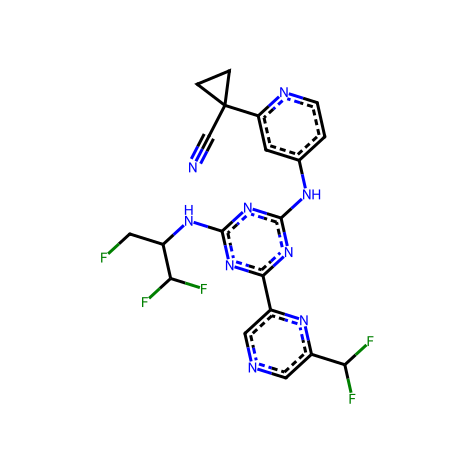 N#CC1(c2cc(Nc3nc(NC(CF)C(F)F)nc(-c4cncc(C(F)F)n4)n3)ccn2)CC1